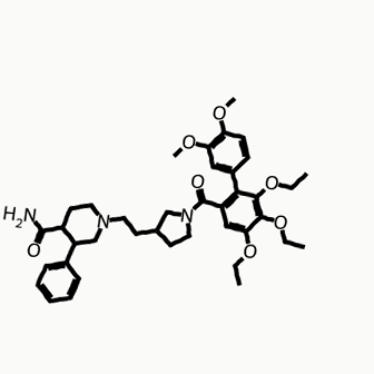 CCOc1cc(C(=O)N2CCC(CCN3CCC(C(N)=O)C(c4ccccc4)C3)C2)c(-c2ccc(OC)c(OC)c2)c(OCC)c1OCC